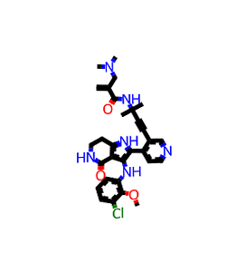 C=C(CN(C)C)C(=O)NC(C)(C)C#Cc1cnccc1-c1[nH]c2c(c1Nc1cccc(Cl)c1OC)C(=O)NCC2